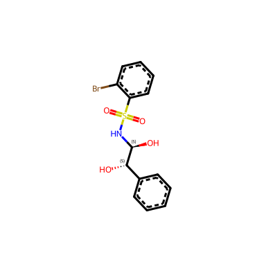 O=S(=O)(N[C@@H](O)[C@@H](O)c1ccccc1)c1ccccc1Br